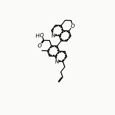 C=CCCc1ccc2c(-c3ccc4c5c(ccnc35)CCO4)c(CC(=O)O)c(C)cc2n1